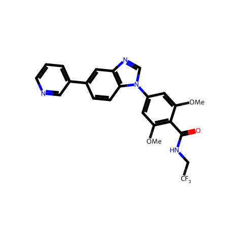 COc1cc(-n2cnc3cc(-c4cccnc4)ccc32)cc(OC)c1C(=O)NCC(F)(F)F